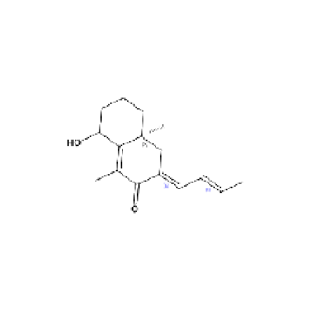 C/C=C/C=C1\C[C@]2(C)CCCC(O)C2=C(C)C1=O